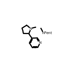 CCCCCC.CN1CCCC1c1cccnc1